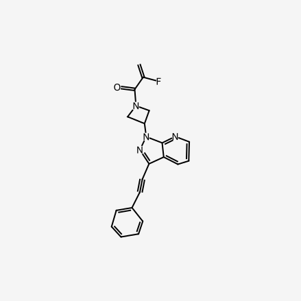 C=C(F)C(=O)N1CC(n2nc(C#Cc3ccccc3)c3cccnc32)C1